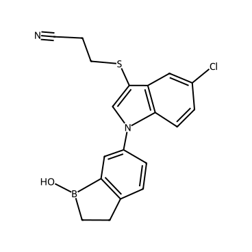 N#CCCSc1cn(-c2ccc3c(c2)B(O)CC3)c2ccc(Cl)cc12